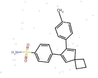 Cc1ccc(C2=CC3(C=C2c2ccc(S(N)(=O)=O)cc2)CCC3)cc1